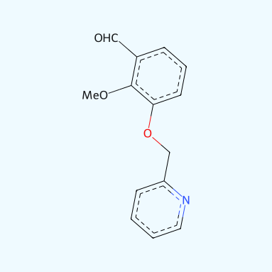 COc1c(C=O)cccc1OCc1ccccn1